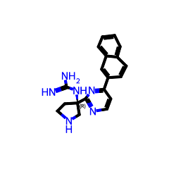 N=C(N)N[C@]1(c2nccc(-c3ccc4ccccc4c3)n2)CCNC1